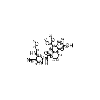 COCCNc1cc(NC(=O)N2CCCc3cc(CN(C)C(=O)O)c(C(OC)OC)nc32)ncc1C#N